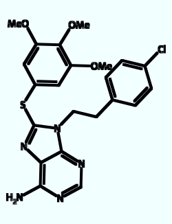 COc1cc(Sc2nc3c(N)ncnc3n2CCc2ccc(Cl)cc2)cc(OC)c1OC